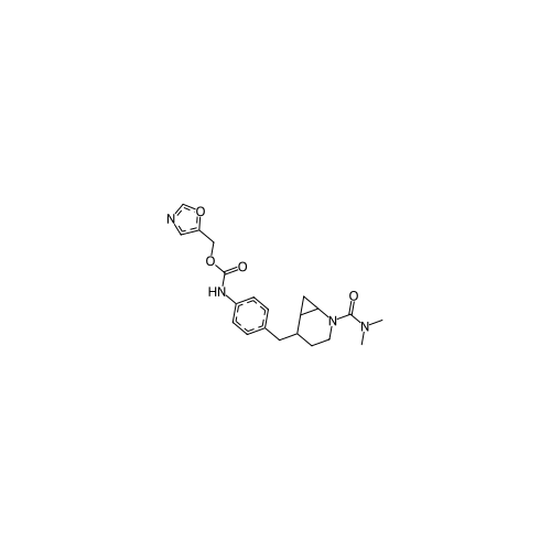 CN(C)C(=O)N1CCC(Cc2ccc(NC(=O)OCc3cnco3)cc2)C2CC21